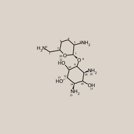 NCC1CCC(N)[C@@H](OC2C(O)[C@@H](O)[C@H](N)C(O)[C@@H]2N)O1